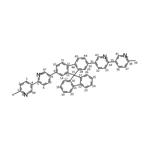 Cc1ccc(-c2ccc(-c3ccc4c(c3)C3(c5ccccc5-c5ccccc53)c3cc(-c5ccc(-c6ccc(C)nc6)nc5)ccc3-4)cn2)cn1